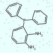 Nc1cccc(P(c2ccccc2)c2ccccc2)c1N